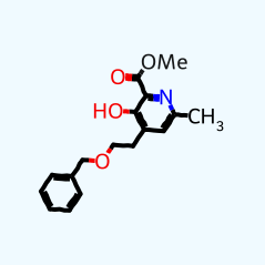 COC(=O)c1nc(C)cc(CCOCc2ccccc2)c1O